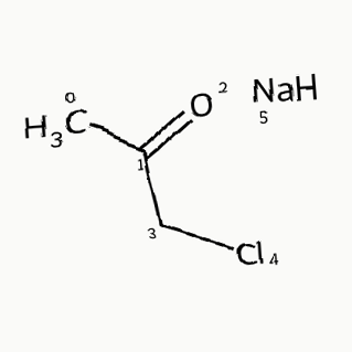 CC(=O)CCl.[NaH]